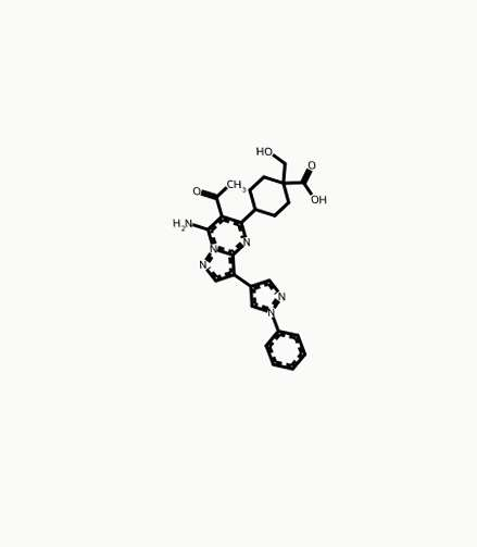 CC(=O)c1c(C2CCC(CO)(C(=O)O)CC2)nc2c(-c3cnn(-c4ccccc4)c3)cnn2c1N